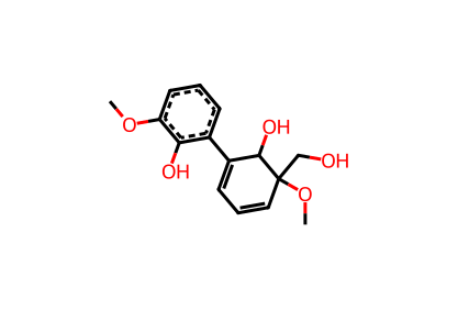 COc1cccc(C2=CC=CC(CO)(OC)C2O)c1O